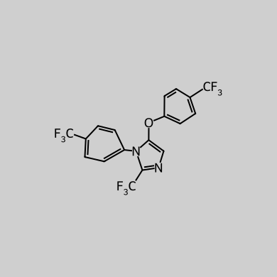 FC(F)(F)c1ccc(Oc2cnc(C(F)(F)F)n2-c2ccc(C(F)(F)F)cc2)cc1